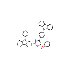 c1ccc(-n2c3ccccc3c3ccc(-c4nc(-c5ccc(-n6c7ccccc7c7ccccc76)cc5)c5c(n4)oc4ccccc45)cc32)cc1